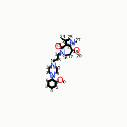 COc1ccccc1N1CCN(CCCN2CCC(OC)c3c(c(C)cn3C)C2=O)CC1